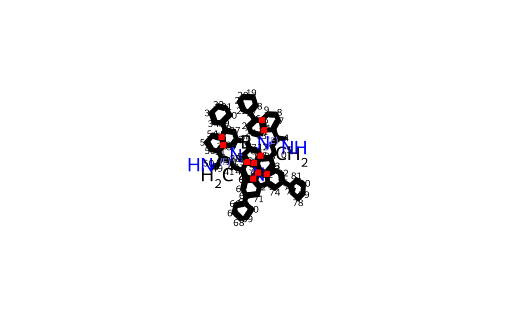 C=C(/C(=C(\C=N)c1ccccc1)N1c2ccc(-c3ccccc3)cc2B2c3cc(-c4ccccc4)ccc3N(/C(C(=C)c3ccccc3)=C(/C=N)c3ccccc3)c3cc(-n4c5ccc(-c6ccccc6)cc5c5cc(-c6ccccc6)ccc54)cc1c32)c1ccccc1